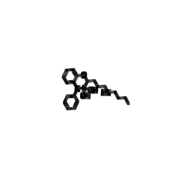 CCCCNCCCC1Oc2ccccc2N(c2ccccc2)S1(O)O